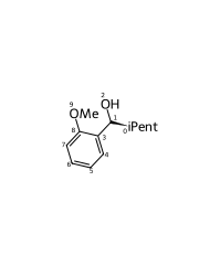 CCC[C@H](C)C(O)c1ccccc1OC